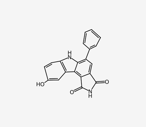 O=C1NC(=O)c2c1cc(-c1ccccc1)c1[nH]c3ccc(O)cc3c21